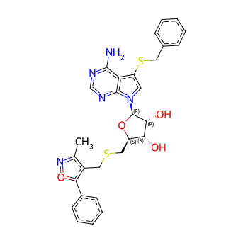 Cc1noc(-c2ccccc2)c1CSC[C@H]1O[C@@H](n2cc(SCc3ccccc3)c3c(N)ncnc32)[C@H](O)[C@@H]1O